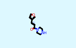 O=C(/C=C/c1ccoc1)N1CCNCC1